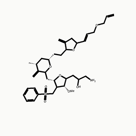 C=CCOC/C=C/C1CC(=C)C(CC[C@H]2C[C@@H](C)C(=C)C(C[C@@H]3OC(CC(O)CN)[C@H](OC)C3CS(=O)(=O)c3ccccc3)O2)O1